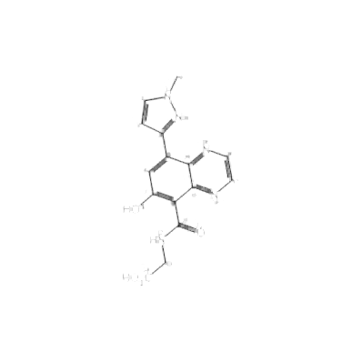 Cn1ccc(-c2cc(O)c(C(=O)NCC(=O)O)c3nccnc23)n1